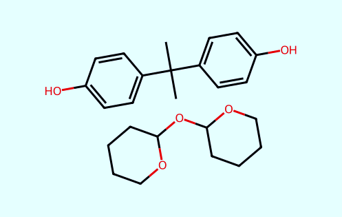 C1CCC(OC2CCCCO2)OC1.CC(C)(c1ccc(O)cc1)c1ccc(O)cc1